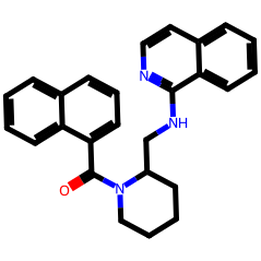 O=C(c1cccc2ccccc12)N1CCCCC1CNc1nccc2ccccc12